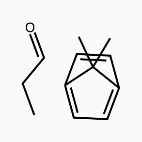 CC1(C)C2=CC=C1C=C2.CCC=O